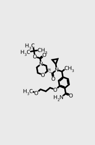 COCCCOc1cc(C(C)N(C(=O)[C@H]2CN(C(=O)OC(C)(C)C)CCO2)C2CC2)ccc1C(N)=O